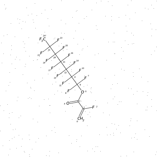 C=C(F)C(=O)OC(F)(F)C(F)(F)C(F)(F)C(F)(F)C(F)(F)C(F)(F)C(F)(F)F